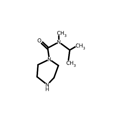 CC(C)N(C)C(=O)N1CCNCC1